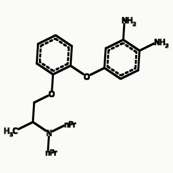 CCCN(CCC)C(C)COc1ccccc1Oc1ccc(N)c(N)c1